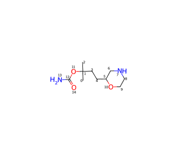 CC(C)(CCC1CNCCO1)OC(N)=O